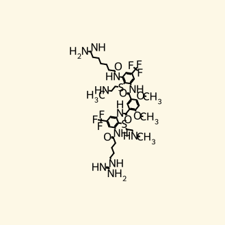 CNCCSc1c(NC(=O)CCCCCC(=N)N)cc(C(F)(F)F)cc1NC(=O)c1cc(C(=O)Nc2cc(C(F)(F)F)cc(NC(=O)CCCCNC(=N)N)c2SCCNC)c(OC)cc1OC